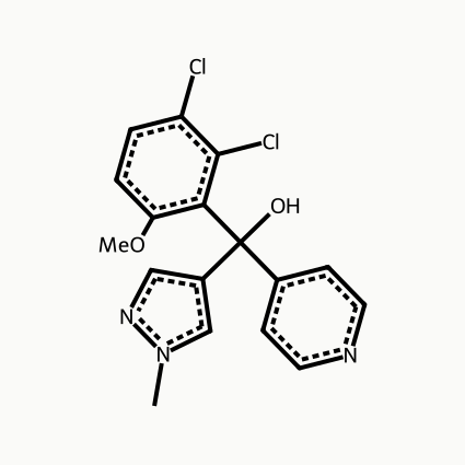 COc1ccc(Cl)c(Cl)c1C(O)(c1ccncc1)c1cnn(C)c1